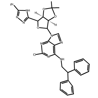 CC(C)c1nnc(C2OC(n3cnc4c(NCC(c5ccccc5)c5ccccc5)nc(Cl)nc43)[C@@H]3OC(C)(C)O[C@H]23)[nH]1